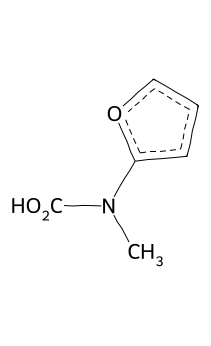 CN(C(=O)O)c1ccco1